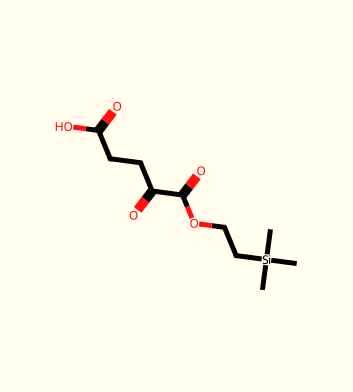 C[Si](C)(C)CCOC(=O)C(=O)CCC(=O)O